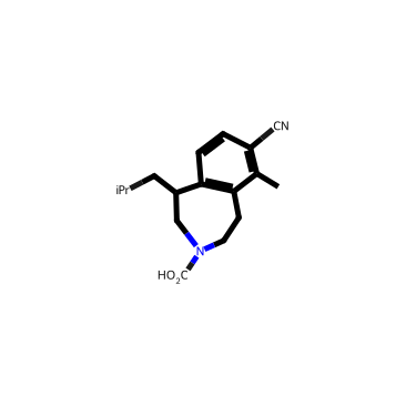 Cc1c(C#N)ccc2c1CCN(C(=O)O)CC2CC(C)C